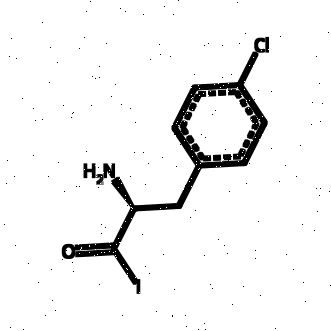 N[C@@H](Cc1ccc(Cl)cc1)C(=O)I